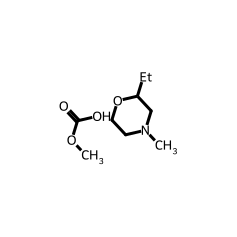 CCC1CN(C)CCO1.COC(=O)O